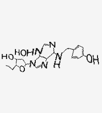 CCC1OC(N2C=NC3C(NCc4ccc(O)cc4)N=CNC32)C(O)C1O